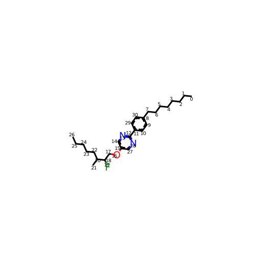 CCCCCCCCc1ccc(-c2ncc(OCC(F)C(C)CCCCC)cn2)cc1